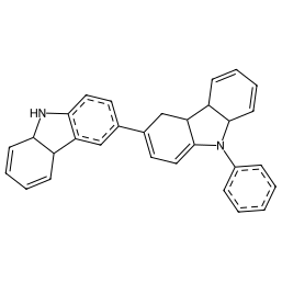 C1=CC2Nc3ccc(C4=CC=C5C(C4)C4C=CC=CC4N5c4ccccc4)cc3C2C=C1